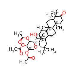 CC(=O)OC1C(OC(C)=O)[C@H](OC(C)=O)CO[C@H]1C(O)[C@]12CCC(C)(C)CC1C1=CCC3[C@@]4(C)CCC(=O)C(C)(C)C4CC[C@@]3(C)[C@]1(C)CC2